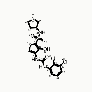 O=C(Nc1csc(S(=O)(=O)NC2CCNC2)c1O)Nc1cccc(Cl)c1Cl